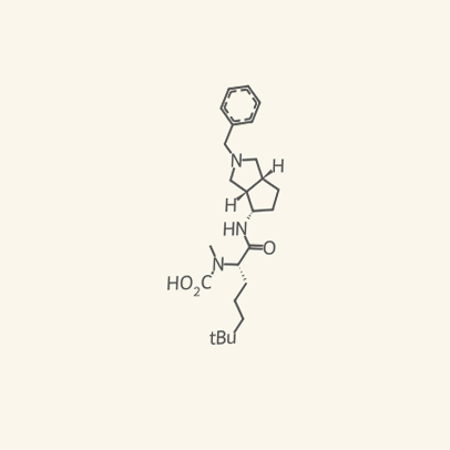 CN(C(=O)O)[C@@H](CCCC(C)(C)C)C(=O)N[C@H]1CC[C@H]2CN(Cc3ccccc3)C[C@H]21